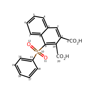 O=C(O)c1cc2ccccc2c(S(=O)(=O)c2ccccc2)c1C(=O)O